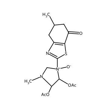 CC(=O)OC1C(OC(C)=O)[N+]([O-])(c2nc3c(s2)C(=O)CC(C)C3)CN1C